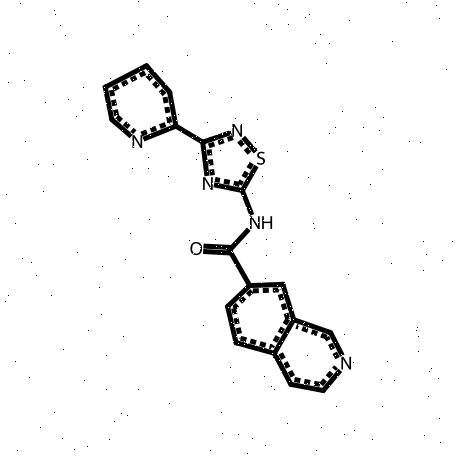 O=C(Nc1nc(-c2ccccn2)ns1)c1ccc2ccncc2c1